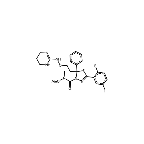 CON(C)C(=O)N1N=C(c2cc(F)ccc2F)SC1(CCONC1=NCCCN1)c1ccccc1